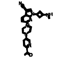 CNC1CC(n2cc(C#N)c3ccc(N4CCN(c5ccc(C(C)=O)nc5)CC4)nc32)C1